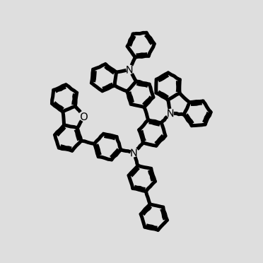 c1ccc(-c2ccc(N(c3ccc(-c4cccc5c4oc4ccccc45)cc3)c3ccc(-n4c5ccccc5c5ccccc54)c(-c4ccc5c(c4)c4ccccc4n5-c4ccccc4)c3)cc2)cc1